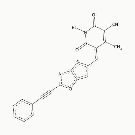 CCN1C(=O)C(C#N)=C(C)/C(=C/c2cc3oc(C#Cc4ccccc4)nc3s2)C1=O